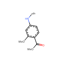 CCCNc1ccc(C(=O)OC)c(OC)c1